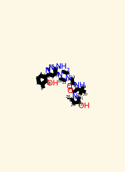 Cc1cccc(-c2cc(N3CCN(CC(=O)N[C@H](C(=O)N4C[C@H](O)C[C@H]4C)C(C)(C)C)CC3)c(N)nn2)c1O